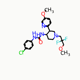 COCC(F)(F)CN1CCC(NC(=O)Nc2ccc(Cl)cc2)C(c2ccc(OC)cn2)C1